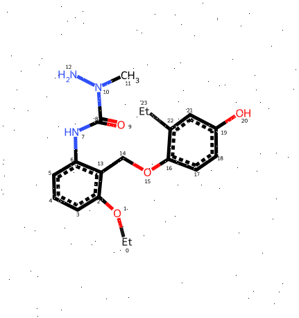 CCOc1cccc(NC(=O)N(C)N)c1COc1ccc(O)cc1CC